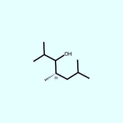 CC(C)C[C@H](C)C(O)C(C)C